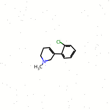 CN1CCC=C(c2ccccc2Cl)C1